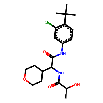 C[C@H](O)C(=O)NC(C(=O)Nc1ccc(C(C)(C)C)c(Cl)c1)C1CCOCC1